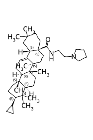 CC1(C)CC[C@]2(C(=O)NCCN3CCCC3)CC[C@]3(C)C(=CC[C@@H]4[C@@]5(C)CC[C@H](C6CC6)C(C)(C)[C@@H]5CC[C@]43C)[C@@H]2C1